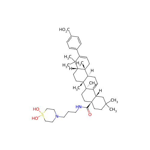 CC1(C)CC[C@]2(C(=O)NCCCN3CCS(O)(O)CC3)CC[C@]3(C)C(=CC[C@@H]4[C@@]5(C)CC=C(c6ccc(C(=O)O)cc6)C(C)(C)[C@H]5CC[C@]43C)[C@@H]2C1